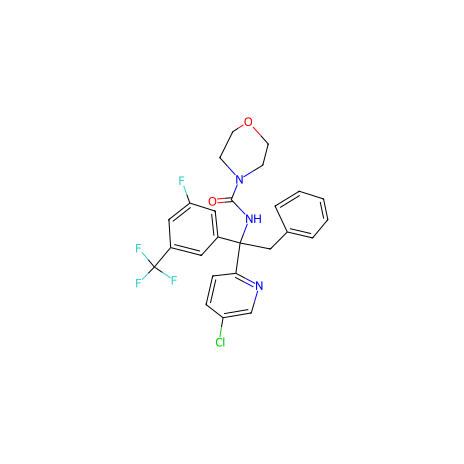 O=C(NC(Cc1ccccc1)(c1cc(F)cc(C(F)(F)F)c1)c1ccc(Cl)cn1)N1CCOCC1